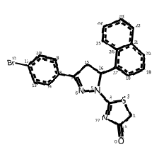 O=C1CSC(N2N=C(c3ccc(Br)cc3)CC2c2cccc3ccccc23)=N1